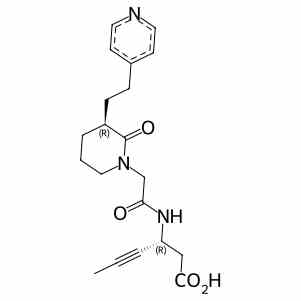 CC#C[C@@H](CC(=O)O)NC(=O)CN1CCC[C@@H](CCc2ccncc2)C1=O